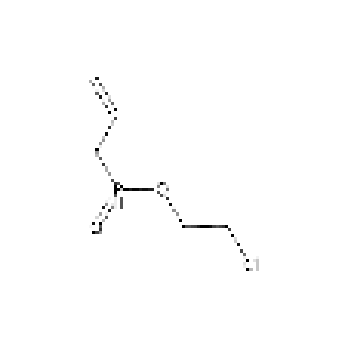 C=CC[PH](=O)OCCCl